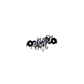 CCCC(=N\N(Cc1ccccc1)[Si](C)(C)C)/C(C)=N/N(Cc1ccccc1)[Si](C)(C)C